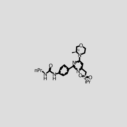 CCCNC(=O)Nc1ccc(-c2nc(CS(=O)(=O)C(C)C)cc(N3CCOC[C@@H]3C)n2)cc1